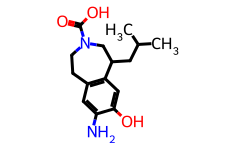 CC(C)CC1CN(C(=O)O)CCc2cc(N)c(O)cc21